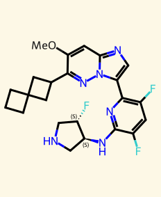 COc1cc2ncc(-c3nc(N[C@H]4CNC[C@@H]4F)c(F)cc3F)n2nc1C1CC2(CCC2)C1